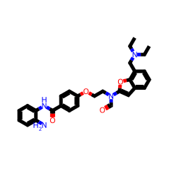 CCN(CC)Cc1cccc2cc(N(C=O)CCOc3ccc(C(=O)Nc4ccccc4N)cc3)oc12